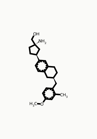 COc1ccc(C[C@@H]2CCc3cc([C@H]4CC[C@@](N)(CO)C4)ccc3C2)c(C)c1